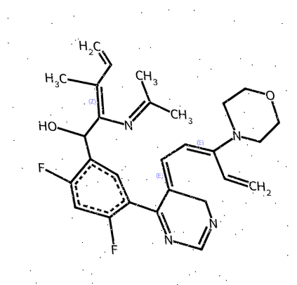 C=C/C(C)=C(\N=C(C)C)C(O)c1cc(C2=NC=NC/C2=C\C=C(/C=C)N2CCOCC2)c(F)cc1F